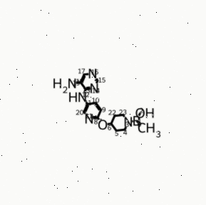 CB(O)N1CCC(Oc2ccc(Nc3ncncc3N)cn2)CC1